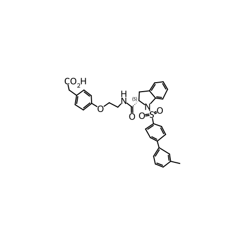 Cc1cccc(-c2ccc(S(=O)(=O)N3c4ccccc4C[C@H]3C(=O)NCCOc3ccc(CC(=O)O)cc3)cc2)c1